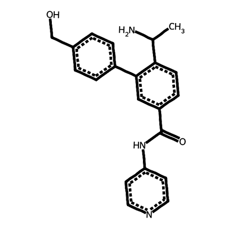 CC(N)c1ccc(C(=O)Nc2ccncc2)cc1-c1ccc(CO)cc1